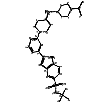 CC(C)N1CCC(NC2CCN(c3cncc(-c4cc5cc(S(=O)(=O)NC(C)(C)C)ccc5[nH]4)c3)CC2)CC1